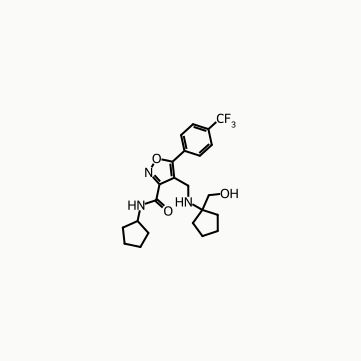 O=C(NC1CCCC1)c1noc(-c2ccc(C(F)(F)F)cc2)c1CNC1(CO)CCCC1